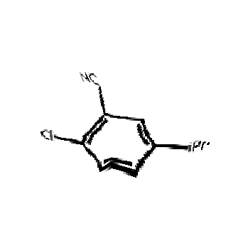 C[C](C)c1ccc(Cl)c(C#N)c1